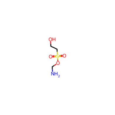 NCOS(=O)(=O)CCO